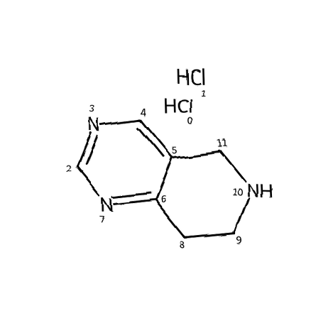 Cl.Cl.c1ncc2c(n1)CCNC2